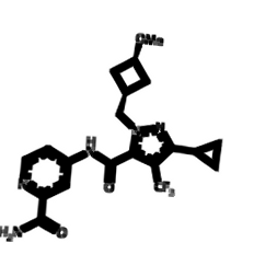 CO[C@H]1C[C@@H](Cn2nc(C3CC3)c(C(F)(F)F)c2C(=O)Nc2ccnc(C(N)=O)c2)C1